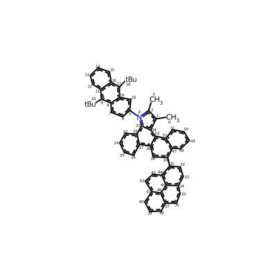 Cc1c(C)n(-c2ccc3c(C(C)(C)C)c4ccccc4c(C(C)(C)C)c3c2)c2c3ccccc3c3cc(-c4ccc5ccc6cccc7ccc4c5c67)c4ccccc4c3c12